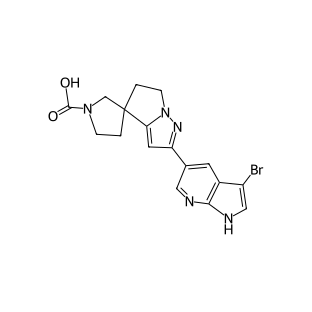 O=C(O)N1CCC2(CCn3nc(-c4cnc5[nH]cc(Br)c5c4)cc32)C1